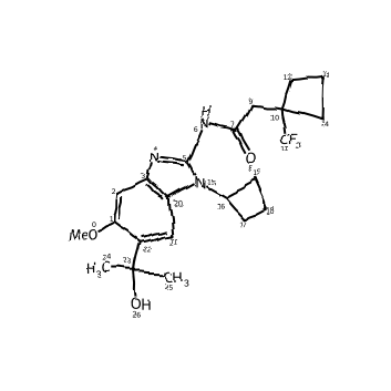 COc1cc2nc(NC(=O)CC3(C(F)(F)F)CCC3)n(C3CCC3)c2cc1C(C)(C)O